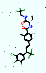 CC[C@H](NC(=O)c1ccc(/C=C/C(c2cc(Cl)c(Cl)c(Cl)c2)C(F)(F)F)cc1C)C(=O)NCC(F)(F)F